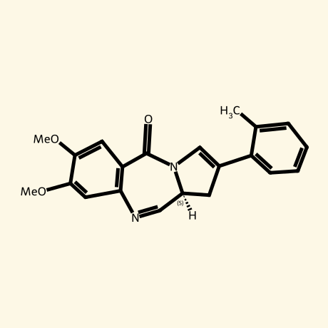 COc1cc2c(cc1OC)C(=O)N1C=C(c3ccccc3C)C[C@H]1C=N2